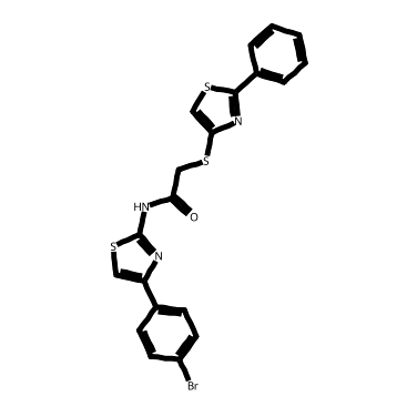 O=C(CSc1csc(-c2ccccc2)n1)Nc1nc(-c2ccc(Br)cc2)cs1